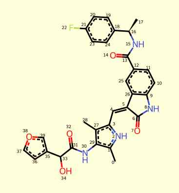 Cc1[nH]c(/C=C2\C(=O)Nc3ccc(C(=O)N[C@H](C)c4ccc(F)cc4)cc32)c(C)c1NC(=O)C(O)c1ccoc1